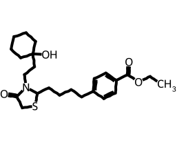 CCOC(=O)c1ccc(CCCCC2SCC(=O)N2CCC2(O)CCCCC2)cc1